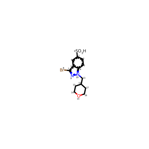 O=S(=O)(O)c1ccc2c(c1)c(Br)nn2CC1CCOCC1